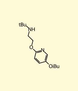 CC(C)COc1ccc(OCCNC(C)(C)C)nc1